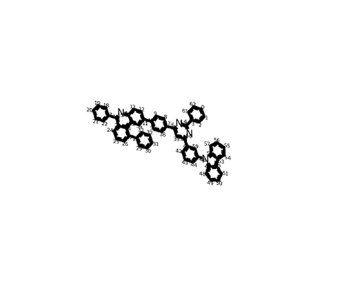 c1ccc(-c2nc(-c3ccc(-c4ccc5nc(-c6ccccc6)c6cccc(-c7ccccc7)c6c5c4)cc3)cc(-c3cccc(-n4c5ccccc5c5ccccc54)c3)n2)cc1